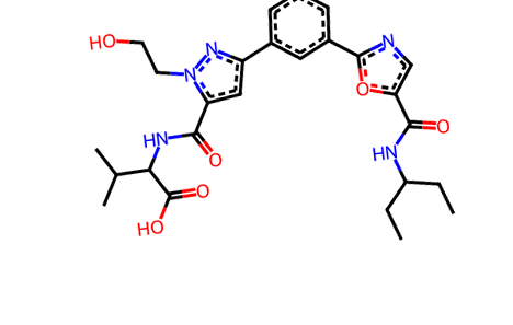 CCC(CC)NC(=O)c1cnc(-c2cccc(-c3cc(C(=O)NC(C(=O)O)C(C)C)n(CCO)n3)c2)o1